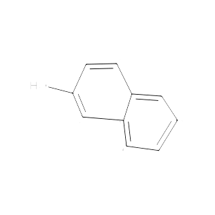 Oc1[c]c2ccccc2cc1